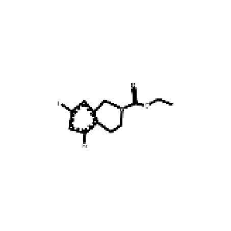 CCOC(=O)N1CCc2c(Br)cc(F)cc2C1